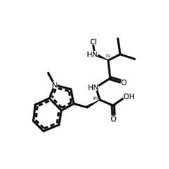 CC(C)[C@H](NCl)C(=O)N[C@H](Cc1cn(C)c2ccccc12)C(=O)O